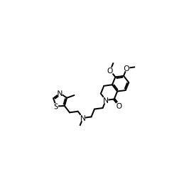 COc1ccc2c(c1OC)CCN(CCCN(C)CCc1scnc1C)C2=O